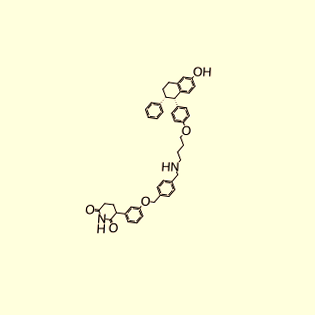 O=C1CCC(c2cccc(OCc3ccc(CNCCCCOc4ccc([C@H]5c6ccc(O)cc6CC[C@H]5c5ccccc5)cc4)cc3)c2)C(=O)N1